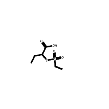 CCC(SS(=O)(=O)CC)C(=O)O